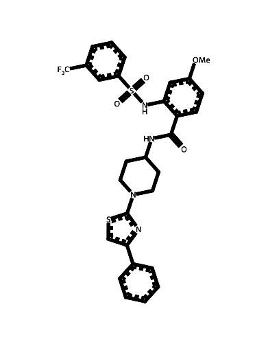 COc1ccc(C(=O)NC2CCN(c3nc(-c4ccccc4)cs3)CC2)c(NS(=O)(=O)c2cccc(C(F)(F)F)c2)c1